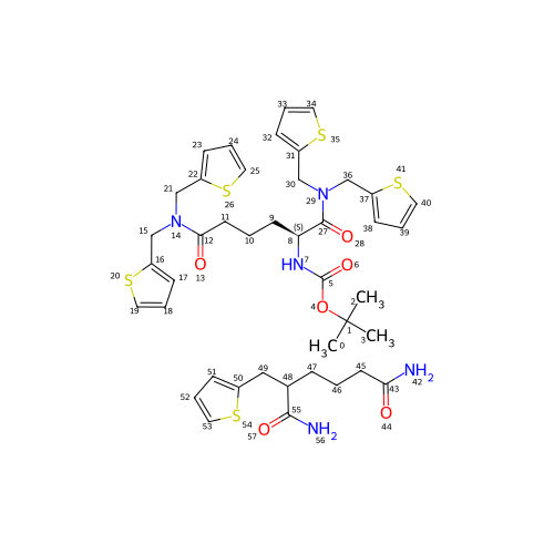 CC(C)(C)OC(=O)N[C@@H](CCCC(=O)N(Cc1cccs1)Cc1cccs1)C(=O)N(Cc1cccs1)Cc1cccs1.NC(=O)CCCC(Cc1cccs1)C(N)=O